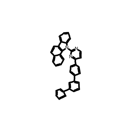 c1ccc(-c2cccc(-c3ccc(-c4ccnc(-n5c6ccccc6c6ccc7ccccc7c65)n4)cc3)c2)cc1